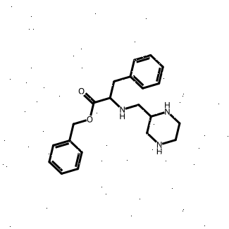 O=C(OCc1ccccc1)C(Cc1ccccc1)NCC1CNCCN1